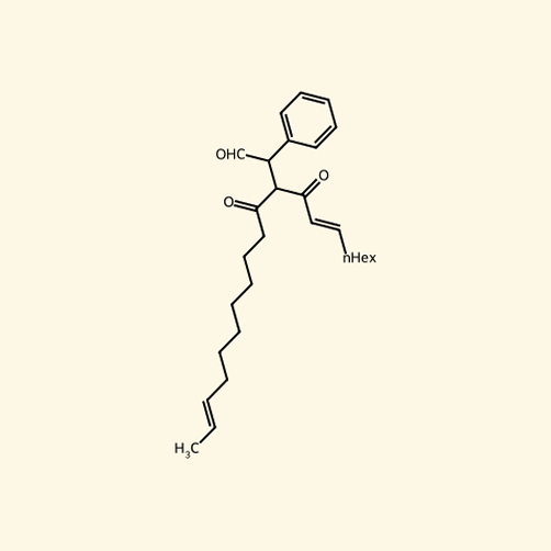 CC=CCCCCCCCC(=O)C(C(=O)C=CCCCCCC)C(C=O)c1ccccc1